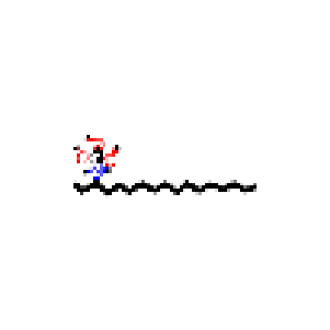 CCCCCCCCCCCCCCC(CC)[N+](C)(C)[Si](OC)(OC)OC